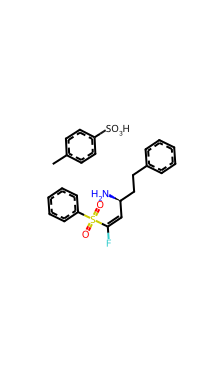 Cc1ccc(S(=O)(=O)O)cc1.N[C@H](/C=C(/F)S(=O)(=O)c1ccccc1)CCc1ccccc1